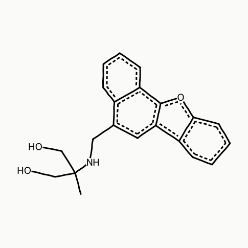 CC(CO)(CO)NCc1cc2c3ccccc3oc2c2ccccc12